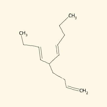 C=CCCC(C=CCC)C=CCCC